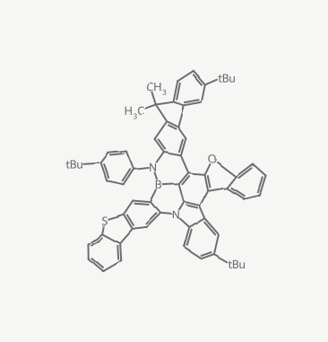 CC(C)(C)c1ccc(N2B3c4cc5sc6ccccc6c5cc4-n4c5ccc(C(C)(C)C)cc5c5c6c(oc7ccccc76)c(c3c54)-c3cc4c(cc32)C(C)(C)c2ccc(C(C)(C)C)cc2-4)cc1